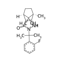 CC(C)(c1ccccc1F)n1[nH]c2c(c1=O)[C@H]1CC[C@]2(C)C1(C)C